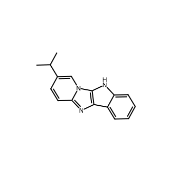 CC(C)c1ccc2nc3c4ccccc4[nH]c3n2c1